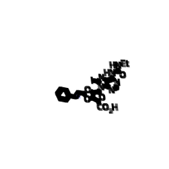 CCNC(=O)Nc1ncnc2c1nc(I)n2C1OC(C(=O)O)C2OC(/C=C/c3ccccc3)OC21